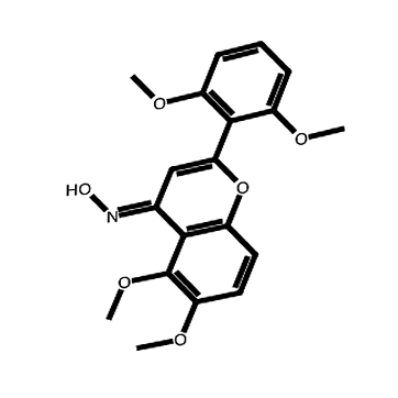 COc1cccc(OC)c1-c1cc(=NO)c2c(OC)c(OC)ccc2o1